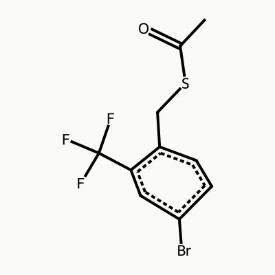 CC(=O)SCc1ccc(Br)cc1C(F)(F)F